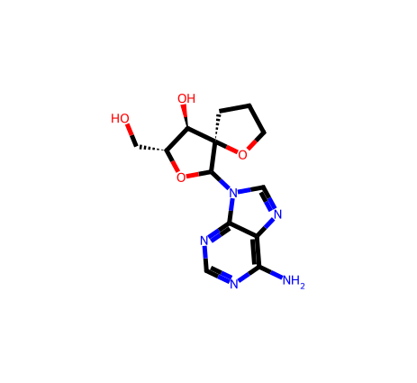 Nc1ncnc2c1ncn2C1O[C@H](CO)[C@@H](O)[C@]12CCCO2